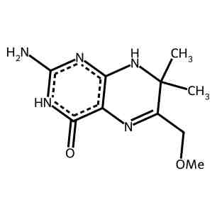 COCC1=Nc2c(nc(N)[nH]c2=O)NC1(C)C